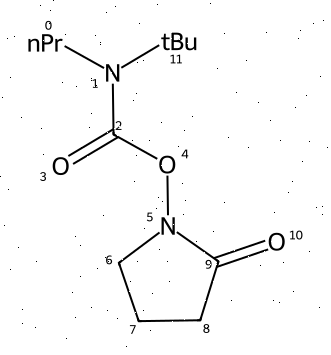 CCCN(C(=O)ON1CCCC1=O)C(C)(C)C